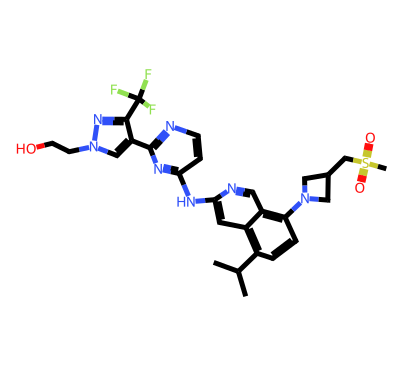 CC(C)c1ccc(N2CC(CS(C)(=O)=O)C2)c2cnc(Nc3ccnc(-c4cn(CCO)nc4C(F)(F)F)n3)cc12